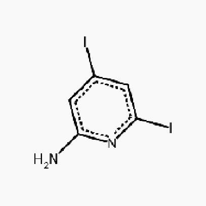 Nc1cc(I)cc(I)n1